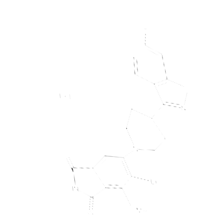 CCc1c(N2CCC(c3noc4cc(F)ccc34)CC2)cc2c(c1OC)C(=O)NC2=O.Cl